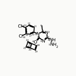 Cc1nc(NN)nc(=O)n1-c1ccc(Cl)c(Cl)c1.c1cc2ccc1-2